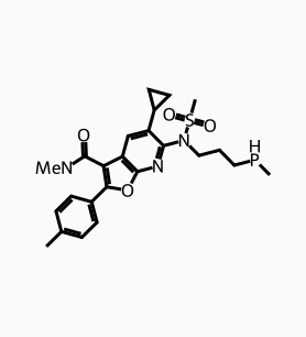 CNC(=O)c1c(-c2ccc(C)cc2)oc2nc(N(CCCPC)S(C)(=O)=O)c(C3CC3)cc12